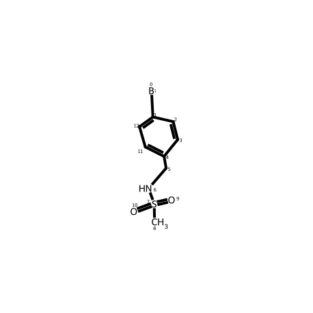 [B]c1ccc(CNS(C)(=O)=O)cc1